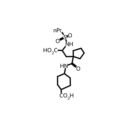 CCCS(=O)(=O)NC(CC1(C(=O)NC2CCC(C(=O)O)CC2)CCCC1)C(=O)O